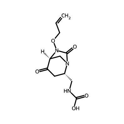 C=CCON1C(=O)N2C[C@H]1C(=O)C[C@H]2CNC(=O)O